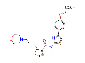 O=C(O)COc1ccc(-c2csc(NC(=O)c3sccc3CCCN3CCOCC3)n2)cc1